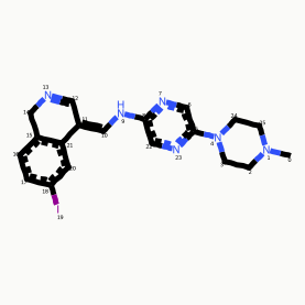 CN1CCN(c2cnc(N/C=C3\C=NCc4ccc(I)cc43)cn2)CC1